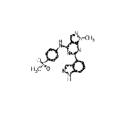 Cn1ncc2c(Nc3ccc(S(C)(=O)=O)cc3)nc(-c3cccc4[nH]ncc34)nc21